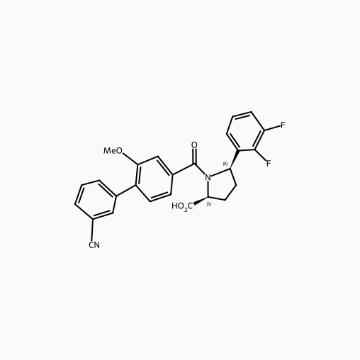 COc1cc(C(=O)N2[C@@H](c3cccc(F)c3F)CC[C@H]2C(=O)O)ccc1-c1cccc(C#N)c1